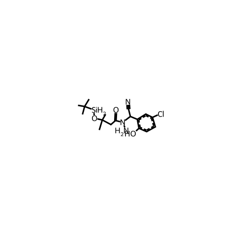 CC(C)(CC(=O)N(N)C(C#N)c1cc(Cl)ccc1O)O[SiH2]C(C)(C)C